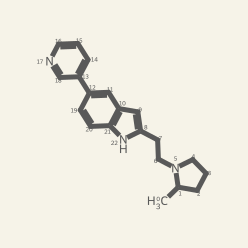 CC1CCCN1CCc1cc2cc(-c3cccnc3)ccc2[nH]1